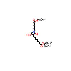 CCCCCCCCCCCOC(=O)CCCCCCN1CC(O)C(CCCCCCCC(=O)OC(CCCCCCCC)CCCCCCCC)C1=O